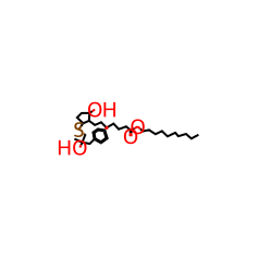 CCCCCCCCCCOC(=O)CCCCCCC1C(O)CCC1SCC(C)(O)Cc1ccccc1